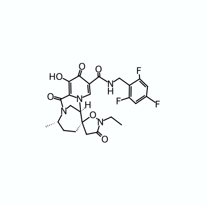 CCN1O[C@@]2(CC[C@H](C)N3C[C@H]2n2cc(C(=O)NCc4c(F)cc(F)cc4F)c(=O)c(O)c2C3=O)CC1=O